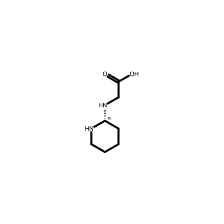 O=C(O)CN[C@@H]1CCCCN1